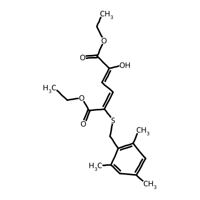 CCOC(=O)C(O)=CC=C(SCc1c(C)cc(C)cc1C)C(=O)OCC